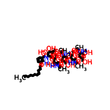 CCCCCC/C=C\CCCOc1cccc(C(=O)N[C@@H]2C(O[C@H]3C(O)C(NC(C)=O)[C@H](OC4C(CO)O[C@@H](O[C@H]5C(O)C(NC(C)=O)C(OC6C(CO)OC(O)[C@@H](NC(C)=O)[C@H]6O)O[C@H]5CO)[C@@H](NC(C)=O)[C@H]4O)O[C@H]3CO)OC(CO)[C@@H](O)[C@@H]2O)c1